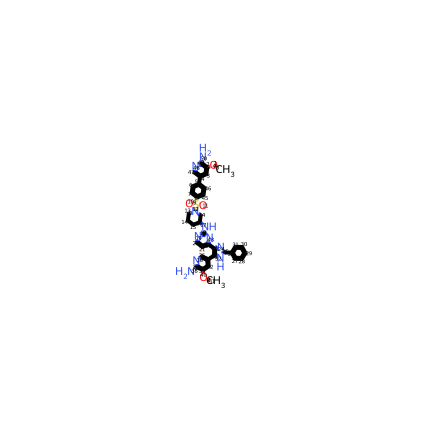 COc1cc(-c2ccc(S(=O)(=O)N3CCCC(Nc4nccc(-c5nc(-c6ccccc6)[nH]c5-c5cnc(N)c(OC)c5)n4)C3)cc2)cnc1N